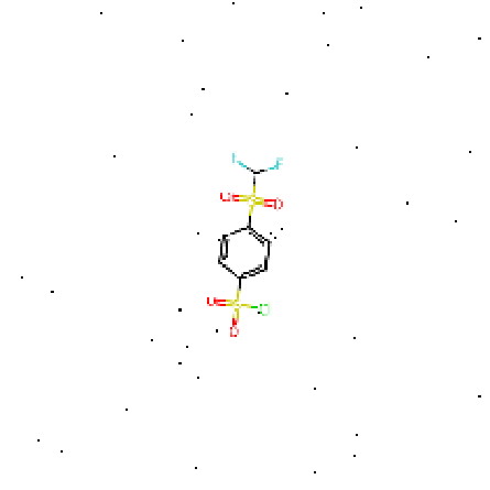 O=S(=O)(Cl)c1ccc(S(=O)(=O)C(F)F)cc1